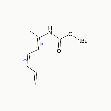 C=C/C=C\C=C(/C)NC(=O)OC(C)(C)C